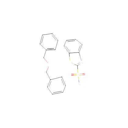 NS(=O)(=O)c1nc2ccccc2s1.c1ccc(COCc2ccccc2)cc1